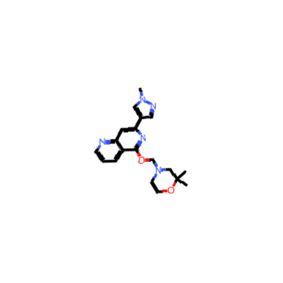 Cn1cc(-c2cc3ncccc3c(OCN3CCOC(C)(C)C3)n2)cn1